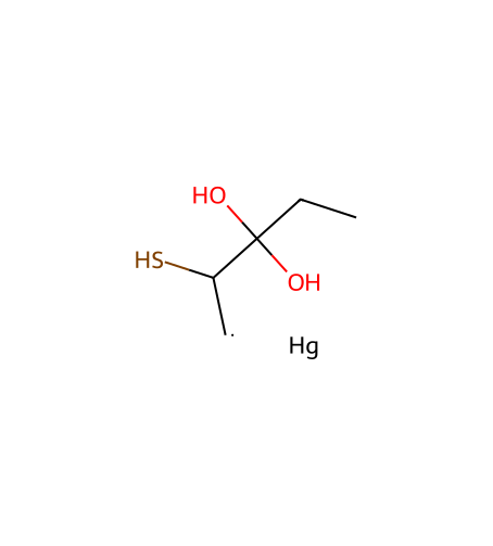 [CH2]C(S)C(O)(O)CC.[Hg]